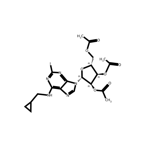 CC(=O)OC[C@H]1O[C@@H](n2cnc3c(NCC4CC4)nc(I)nc32)[C@H](OC(C)=O)[C@@H]1OC(C)=O